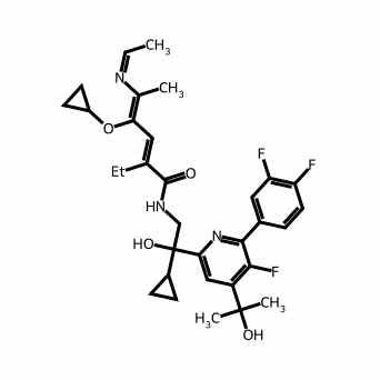 C\C=N/C(C)=C(/C=C(\CC)C(=O)NCC(O)(c1cc(C(C)(C)O)c(F)c(-c2ccc(F)c(F)c2)n1)C1CC1)OC1CC1